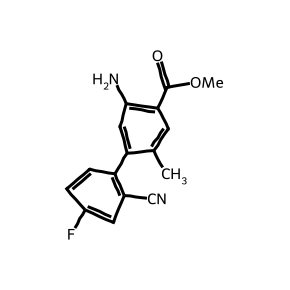 COC(=O)c1cc(C)c(-c2ccc(F)cc2C#N)cc1N